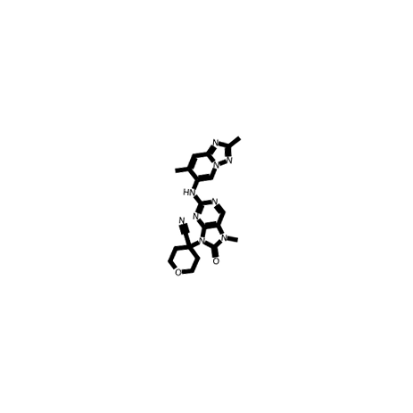 Cc1nc2cc(C)c(Nc3ncc4c(n3)n(C3(C#N)CCOCC3)c(=O)n4C)cn2n1